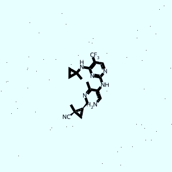 CC(=N/C[C@H]1C[C@@]1(C)C#N)/C(=C\N)Nc1ncc(C(F)(F)F)c(NC2(C)CC2)n1